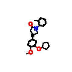 COc1ccc([C@H]2CC(=O)N(c3ccccc3C)C2)cc1OC1CCCC1